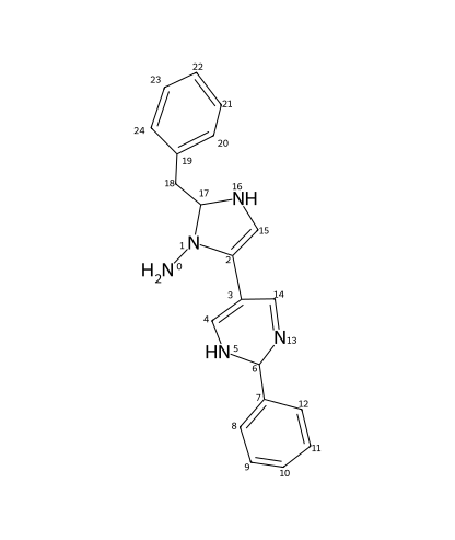 NN1C(C2=CNC(c3ccccc3)N=C2)=CNC1Cc1ccccc1